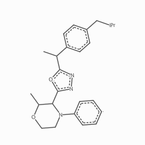 CC(C)Cc1ccc(C(C)c2nnc(C3C(C)OCCN3c3cc[c]cc3)o2)cc1